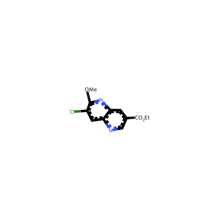 CCOC(=O)c1cnc2cc(Cl)c(OC)nc2c1